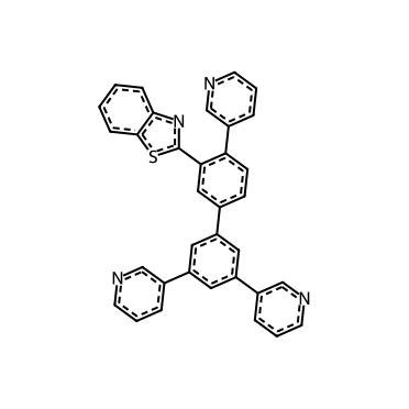 c1cncc(-c2cc(-c3cccnc3)cc(-c3ccc(-c4cccnc4)c(-c4nc5ccccc5s4)c3)c2)c1